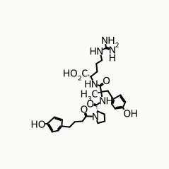 C[C@@](Cc1ccc(O)cc1)(NC(=O)[C@@H]1CCCN1C(=O)CCCc1ccc(O)cc1)C(=O)N[C@@H](CCCNC(=N)N)C(=O)O